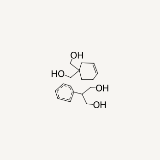 OCC(CO)c1ccccc1.OCC1(CO)CC=CCC1